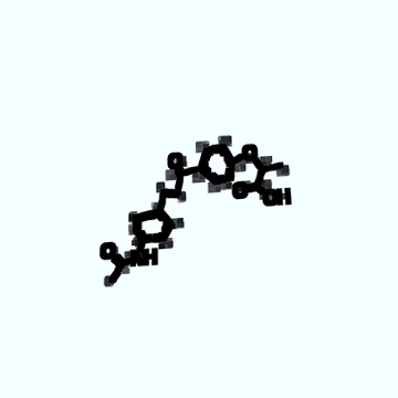 CC(=O)Nc1ccc(/C=C/C(=O)c2ccc(OC(C)C(=O)O)cc2)cc1